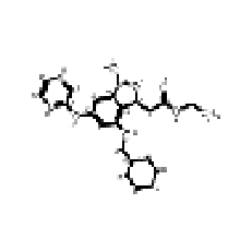 CCOC(=O)CC1OB(O)c2cc(Oc3cnccn3)cc(OCC3CCCCC3)c21